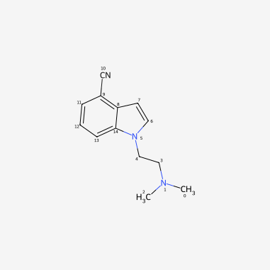 CN(C)CCn1ccc2c(C#N)cccc21